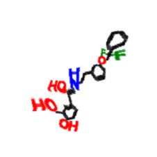 OCc1cc(C(O)CNCCc2cccc(OCC(F)(F)c3ccccc3)c2)ccc1O